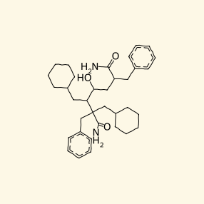 NC(=O)C(Cc1ccccc1)CC(O)C(CC1CCCCC1)C(Cc1ccccc1)(CC1CCCCC1)C(N)=O